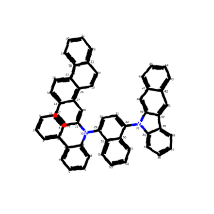 c1ccc(-c2ccccc2N(c2ccc3ccc4c5ccccc5ccc4c3c2)c2ccc(-n3c4ccccc4c4cc5ccccc5cc43)c3ccccc23)cc1